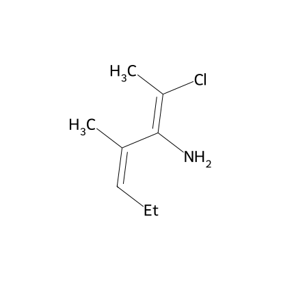 CC/C=C(C)\C(N)=C(/C)Cl